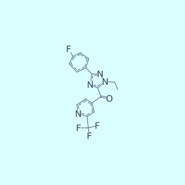 CCn1nc(-c2ccc(F)cc2)nc1C(=O)c1ccnc(C(F)(F)F)c1